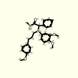 CNC(=O)C(c1ccccc1)N(CCCc1ccc(OC)cc1)c1ccc(OC)c(OC)c1